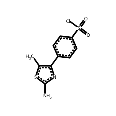 Cc1sc(N)nc1-c1ccc(S(=O)(=O)Cl)cc1